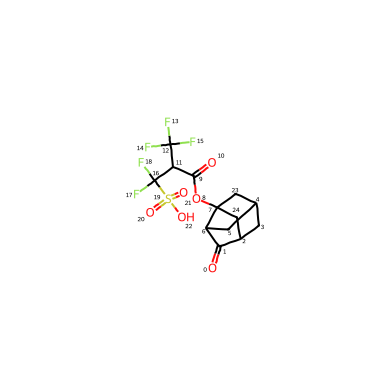 O=C1C2CC3CC1C(OC(=O)C(C(F)(F)F)C(F)(F)S(=O)(=O)O)(C3)C2